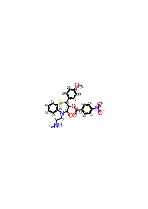 CNCCN1C(=O)[C@H](OC(=O)c2ccc([N+](=O)[O-])cc2)[C@H](c2ccc(OC)cc2)Sc2ccccc21